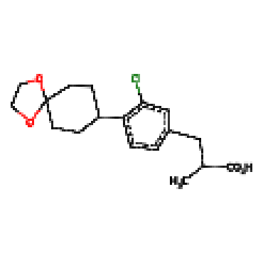 CC(Cc1ccc(C2CCC3(CC2)OCCO3)c(Cl)c1)C(=O)O